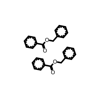 O=C(OCc1ccccc1)c1ccccc1.O=C(OCc1ccccc1)c1ccccc1